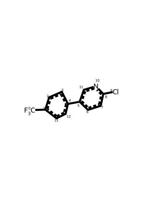 FC(F)(F)c1ccc(-c2ccc(Cl)nc2)cc1